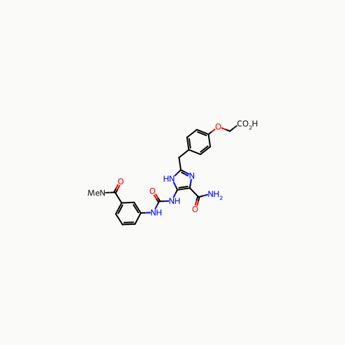 CNC(=O)c1cccc(NC(=O)Nc2[nH]c(Cc3ccc(OCC(=O)O)cc3)nc2C(N)=O)c1